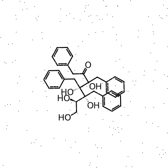 O=C(Cc1ccccc1)[C@](O)(Cc1ccccc1)[C@](O)(Cc1ccccc1)[C@@](O)(Cc1ccccc1)[C@H](O)CO